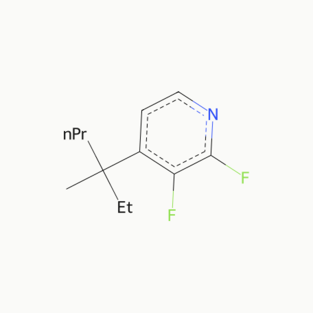 CCCC(C)(CC)c1ccnc(F)c1F